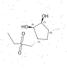 CCS(=O)(=O)C[C@H]1C[C@@H](C)[C@H](O)[C@@H]1O